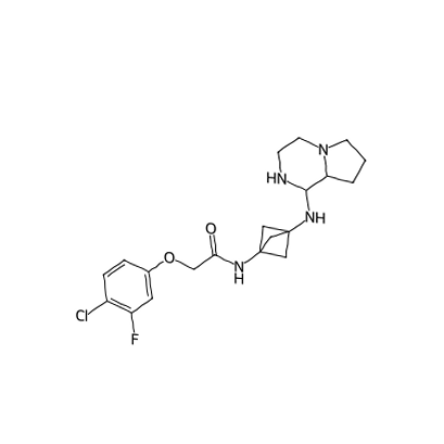 O=C(COc1ccc(Cl)c(F)c1)NC12CC(NC3NCCN4CCCC34)(C1)C2